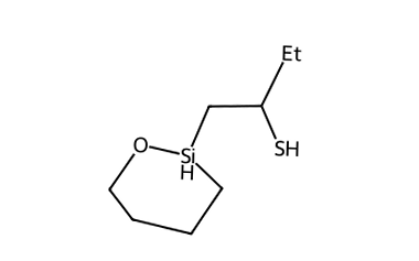 CCC(S)C[SiH]1CCCCO1